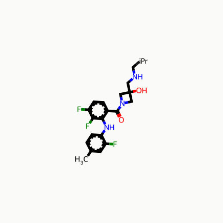 Cc1ccc(Nc2c(C(=O)N3CC(O)(CNCC(C)C)C3)ccc(F)c2F)c(F)c1